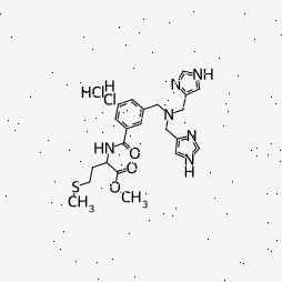 COC(=O)C(CCSC)NC(=O)c1cccc(CN(Cc2c[nH]cn2)Cc2c[nH]cn2)c1.Cl.Cl